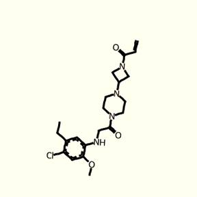 C=CC(=O)N1CC(N2CCN(C(=O)CNc3cc(CC)c(Cl)cc3OC)CC2)C1